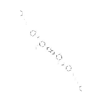 C=CC(=O)OCCCCOc1ccc(C(=O)Oc2ccc(-c3nc4sc(-c5ccc(OC(=O)c6ccc(OCCCCOC(=O)C=C)cc6)c(OC)c5)nc4s3)cc2CO)cc1